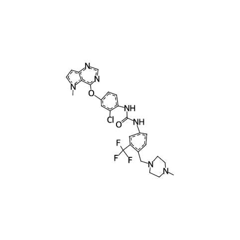 CN1CCN(Cc2ccc(NC(=O)Nc3ccc(Oc4ncnc5ccn(C)c45)cc3Cl)cc2C(F)(F)F)CC1